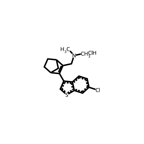 CN(C)CC1=C(c2csc3cc(Cl)ccc23)C2CCC1C2.Cl